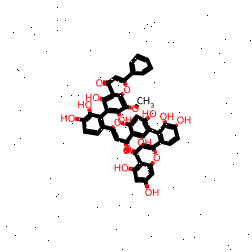 COc1c(O)c(-c2c(-c3cc(=O)c4c(O)c(-c5c(-c6cc(=O)c7c(O)cc(O)cc7o6)ccc(O)c5O)c(O)cc4o3)ccc(O)c2O)c(O)c2c(=O)cc(-c3ccccc3)oc12